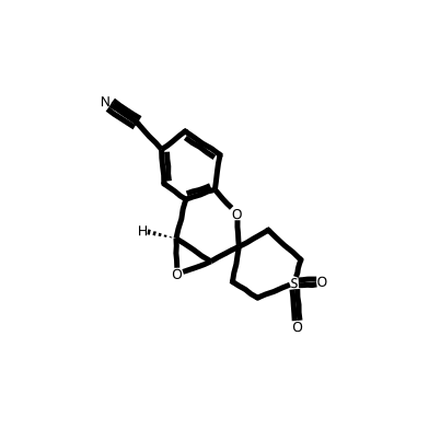 N#Cc1ccc2c(c1)[C@@H]1OC1C1(CCS(=O)(=O)CC1)O2